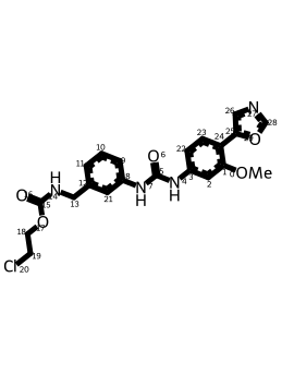 COc1cc(NC(=O)Nc2cccc(CNC(=O)OCCCl)c2)ccc1-c1cnco1